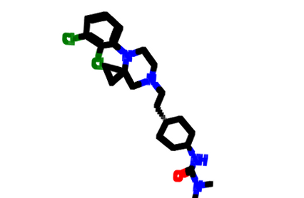 CN(C)C(=O)N[C@H]1CC[C@H](CCN2CCN(c3cccc(Cl)c3Cl)C3(CC3)C2)CC1